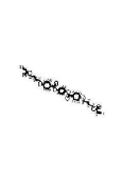 C=CC(=O)OCCCCOC1CCC(C(=O)Oc2ccc(OC(=O)C3CCC(OCCCCOC(=O)C=C)CC3)cc2)CC1